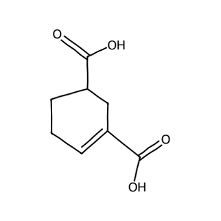 O=C(O)C1=CCCC(C(=O)O)C1